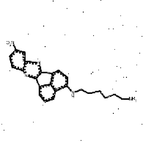 NCCCCCCNc1ccc2c3c(cccc13)-c1nc3ccc([N+](=O)[O-])cc3nc1-2